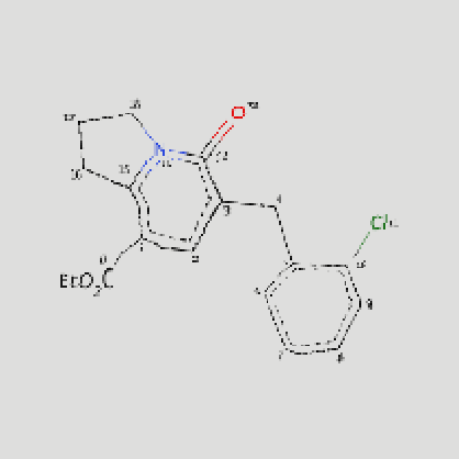 CCOC(=O)c1cc(Cc2ccccc2Cl)c(=O)n2c1CCC2